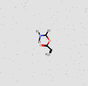 C=CC(=O)OC(CC)N(CC)CC